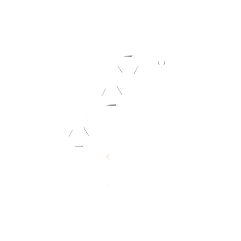 COc1ccc(F)c(-c2ccc(COc3cccc([C@H](O)CC(=O)O)c3)cc2[C@@H](F)C(C)(C)C)c1